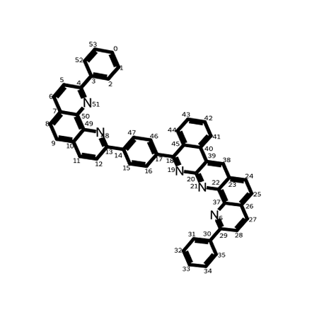 c1ccc(-c2ccc3ccc4ccc(-c5ccc(-c6nc7nc8c(ccc9ccc(-c%10ccccc%10)nc98)cc7c7ccccc67)cc5)nc4c3n2)cc1